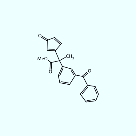 COC(=O)C(C)(C1=CC(=O)C=C1)c1cccc(C(=O)c2ccccc2)c1